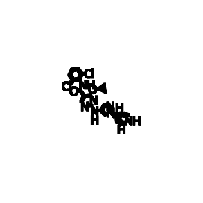 O=C(Nc1c(Cl)cccc1Cl)c1cnc(Nc2cnn([C@@H]3C[C@@H]4C[C@H]3CN4)c2)nc1OC1CC1